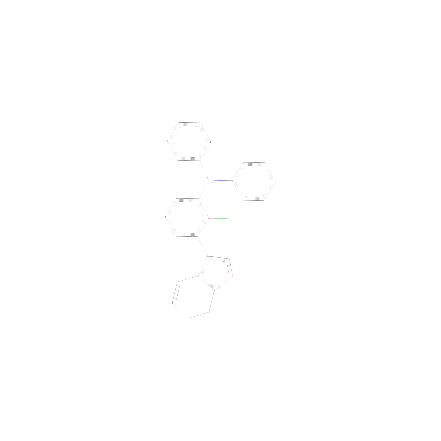 Clc1c(-c2coc3c2C=CCC3)cccc1N(c1ccccc1)c1ccccc1